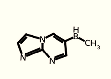 CBc1cnc2nccn2c1